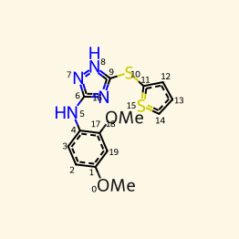 COc1ccc(Nc2n[nH]c(Sc3cccs3)n2)c(OC)c1